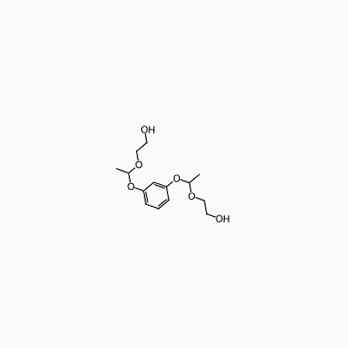 CC(OCCO)Oc1cccc(OC(C)OCCO)c1